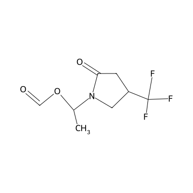 CC(OC=O)N1CC(C(F)(F)F)CC1=O